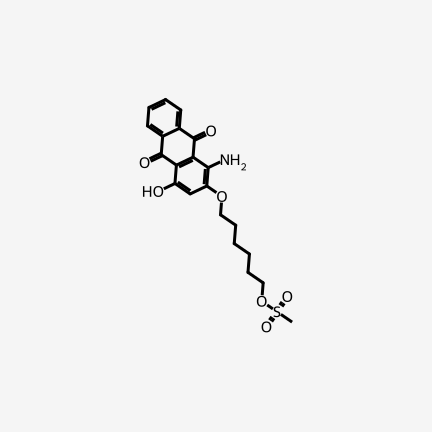 CS(=O)(=O)OCCCCCCOc1cc(O)c2c(c1N)C(=O)c1ccccc1C2=O